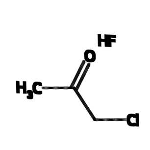 CC(=O)CCl.F